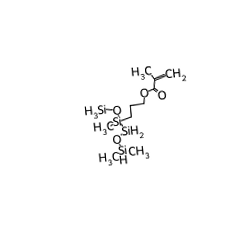 C=C(C)C(=O)OCCC[Si](C)(O[SiH3])[SiH2]O[SiH](C)C